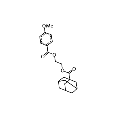 COc1ccc(C(=O)OCCOC(=O)C23CC4CC(CC(C4)C2)C3)cc1